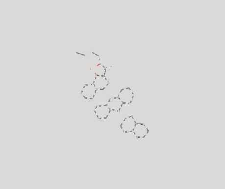 C=C/C=C\c1oc2c(cc(-c3c4ccccc4c(-c4ccc5ccccc5c4)c4ccccc34)c3ccccc32)c1C